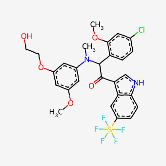 COc1cc(OCCO)cc(N(C)C(C(=O)c2c[nH]c3ccc(S(F)(F)(F)(F)F)cc23)c2ccc(Cl)cc2OC)c1